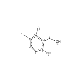 O=Nc1ccc(I)c(Cl)c1CO